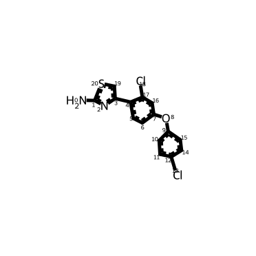 Nc1nc(-c2ccc(Oc3ccc(Cl)cc3)cc2Cl)cs1